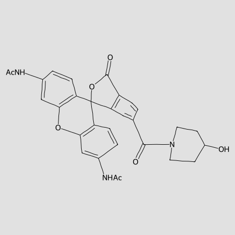 CC(=O)Nc1ccc2c(c1)Oc1cc(NC(C)=O)ccc1C21OC(=O)c2ccc(C(=O)N3CCC(O)CC3)cc21